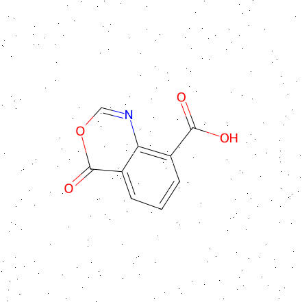 O=C(O)c1cccc2c(=O)ocnc12